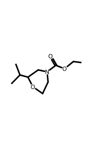 CCOC(=O)N1CCOC(C(C)C)C1